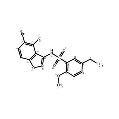 CCc1ccc(OC)c(S(=O)(=O)Nc2noc3ccc(Br)c(Cl)c23)c1